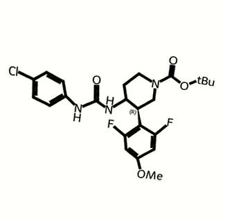 COc1cc(F)c([C@@H]2CN(C(=O)OC(C)(C)C)CCC2NC(=O)Nc2ccc(Cl)cc2)c(F)c1